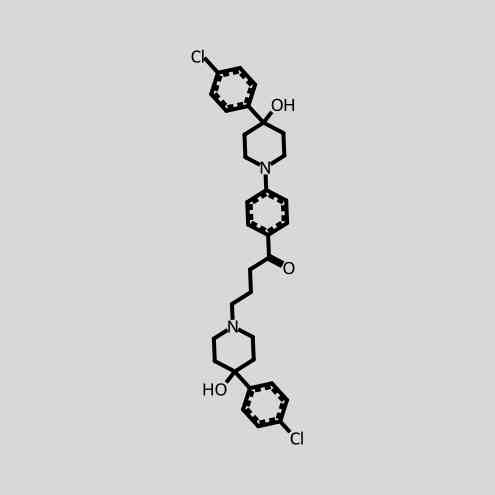 O=C(CCCN1CCC(O)(c2ccc(Cl)cc2)CC1)c1ccc(N2CCC(O)(c3ccc(Cl)cc3)CC2)cc1